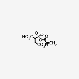 C=CC(=O)OS(=O)(=O)C(CC(=O)O)C(=O)O